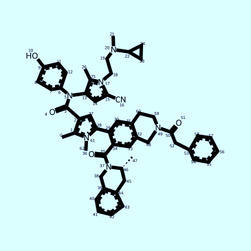 Cc1c(C(=O)N(c2ccc(O)cc2)c2cc(C#N)n(CCN(C)C3CC3)c2C)cc(-c2cc3c(cc2C(=O)N2Cc4ccccc4C[C@H]2C)CN(C(=O)Cc2ccccc2)CC3)n1C